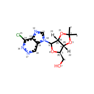 CC1(C)O[C@@H]2[C@@H](CO)OC(n3cnc4c(Cl)nncc43)[C@@H]2O1